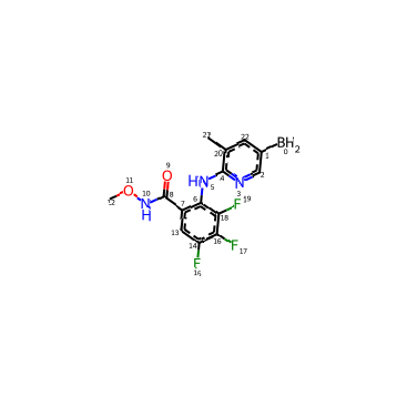 Bc1cnc(Nc2c(C(=O)NOC)cc(F)c(F)c2F)c(C)c1